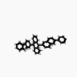 c1ccc(-c2ccc3cc(-c4c5ccccc5c(-c5ccc6c(c5)oc5ccccc56)c5ccccc45)ccc3c2)cc1